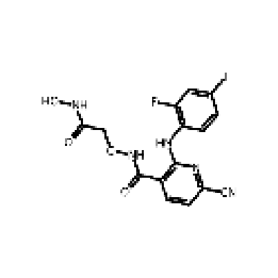 N#Cc1ccc(C(=O)NOCC(=O)NO)c(Nc2ccc(I)cc2F)n1